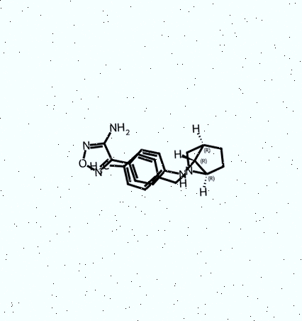 Cc1ccc(CN2C[C@H]3CC[C@@H]2[C@@H]3Nc2ccc(-c3nonc3N)cc2)cc1